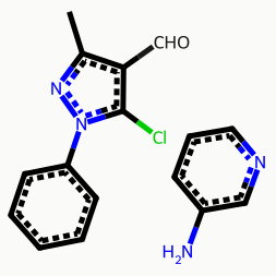 Cc1nn(-c2ccccc2)c(Cl)c1C=O.Nc1cccnc1